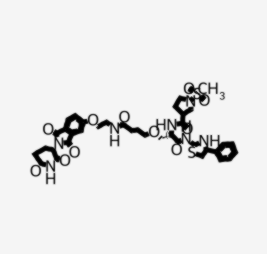 CS(=O)(=O)N1CCC(C(=O)N[C@@H](COCCCC(=O)NCCOc2ccc3c(c2)C(=O)N(C2CCC(=O)NC2=O)C3=O)C(=O)NC2NC(c3ccccc3)CS2)C1